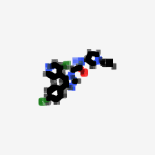 CN1CC[C@@H](NC(=O)Cn2cnc(-c3ccc(Cl)cc3)c2-c2ccncc2Cl)C1